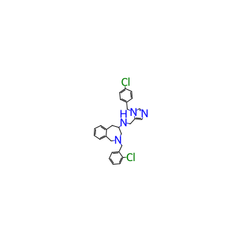 Clc1ccc(Cn2cncc2CNC2Cc3ccccc3CN(Cc3ccccc3Cl)C2)cc1